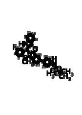 COc1ccc(F)cc1[C@H](c1cc2ccccc2[nH]1)N1Cc2ccc(-c3ccc(NC(=O)OC(C)(C)C)cc3)cc2C1=O